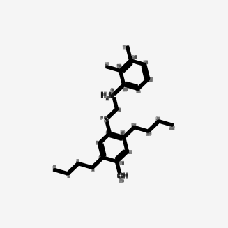 CCCCc1cc(SC[SiH2]c2cccc(C)c2C)c(CCCC)cc1O